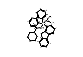 C[SiH](C)[Ti]([NH]C(=O)C1CCCCC1)([c]1ccccc1)([c]1ccccc1)[c]1cccc2c1Cc1ccccc1-2